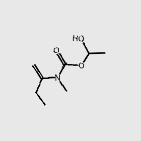 C=C(CC)N(C)C(=O)OC(C)O